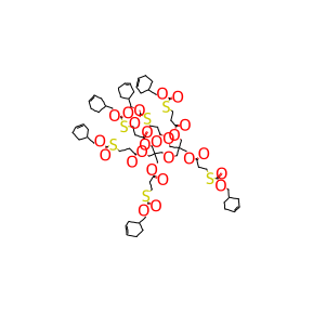 O=C(CCSC(=O)OCC1CC=CCC1)OCC(COCC(COC(=O)CCSC(=O)OCC1CC=CCC1)(COC(=O)CCSC(=O)OCC1CC=CCC1)COC(=O)CCSC(=O)OCC1CC=CCC1)(COC(=O)CCSC(=O)OCC1CC=CCC1)COC(=O)CCSC(=O)OCC1CC=CCC1